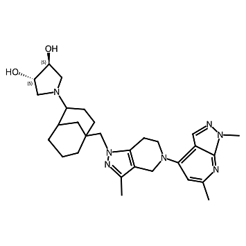 Cc1cc(N2CCc3c(c(C)nn3CC34CCCC(C3)C(N3C[C@H](O)[C@@H](O)C3)CC4)C2)c2cnn(C)c2n1